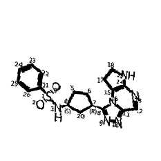 O=S(=O)(N[C@H]1CC[C@@H](c2nnc3cnc4c(n23)CCN4)C1)c1ccccc1